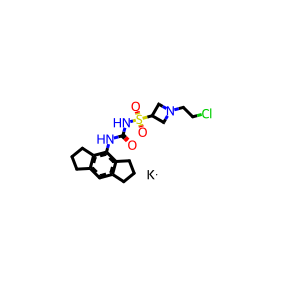 O=C(Nc1c2c(cc3c1CCC3)CCC2)NS(=O)(=O)C1CN(CCCl)C1.[K]